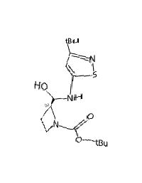 CC(C)(C)OC(=O)N1CC[C@H]1C(O)Nc1cc(C(C)(C)C)ns1